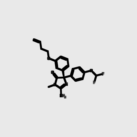 C=CCCOc1cccc([C@@]2(c3ccc(OC(F)F)cc3)N=C(N)N(C)C2=O)c1